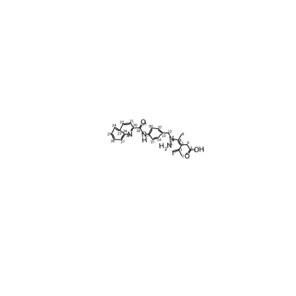 C=C(C)/C(CC(=O)O)=C(/C)N(N)Cc1ccc(NC(=O)c2ccc3ccccc3n2)cc1